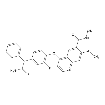 CNC(=O)c1cc2c(Oc3ccc(C(C(N)=O)c4ccccc4)cc3F)ccnc2cc1OC